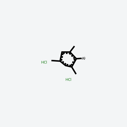 Cc1cc(C)[c]([Al])c(C)c1.Cl.Cl